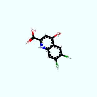 O=C(O)c1cc(O)c2cc(F)c(Cl)cc2n1